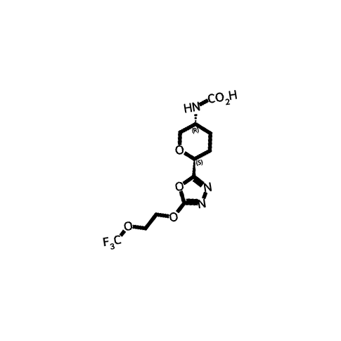 O=C(O)N[C@@H]1CC[C@@H](c2nnc(OCCOC(F)(F)F)o2)OC1